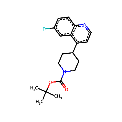 CC(C)(C)OC(=O)N1CCC(c2ccnc3ccc(F)cc23)CC1